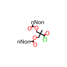 CCCCCCCCCC(=O)OCC(C)(COC(=O)CCCCCCCCC)C(=O)Cl